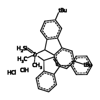 CC(C)(C)c1ccc2c(c1)-c1cc(C(C)(C)C)ccc1[CH]2[Zr]([CH3])([CH3])(=[SiH2])[CH]1C=C(c2ccccc2)c2ccccc21.Cl.Cl